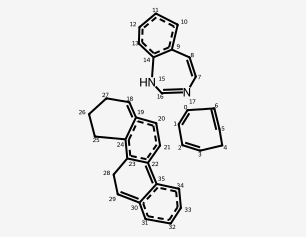 C1=CC=CCC=C1.C1=Cc2ccccc2NC=N1.C1=c2ccc3c(c2CCC1)CC=c1ccccc1=3